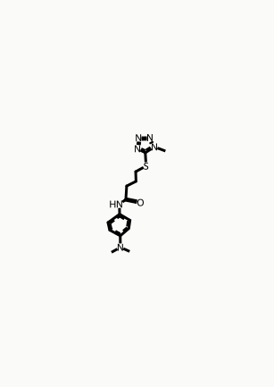 CN(C)c1ccc(NC(=O)CCCSc2nnnn2C)cc1